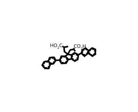 CC(CC1(CC(C)C(=O)O)c2cc(-c3ccc4ccccc4c3)ccc2-c2ccc(-c3ccc4ccccc4c3)cc21)C(=O)O